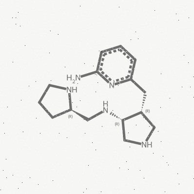 Nc1cccc(C[C@@H]2CNC[C@@H]2NC[C@H]2CCCN2)n1